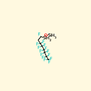 FC(CC(F)(F)C(F)(F)C(F)(F)C(F)(F)C(F)(F)C(F)(F)F)[SiH2]O[SiH3]